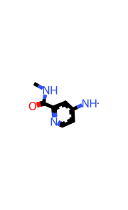 CNC(=O)c1cc([NH])ccn1